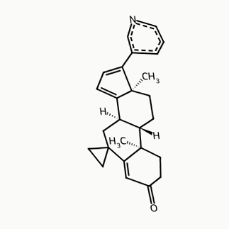 C[C@]12CC[C@H]3[C@@H](CC4(CC4)C4=CC(=O)CC[C@@]43C)C1=CC=C2c1cccnc1